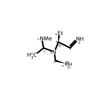 CC[C@H](C)CN(C(C)NC)[C@H](C=N)CC